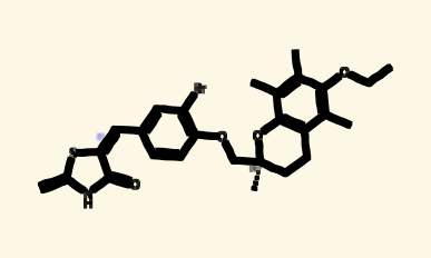 C=c1[nH]c(=O)/c(=C\c2ccc(OC[C@]3(C)CCc4c(C)c(OCC)c(C)c(C)c4O3)c(Br)c2)s1